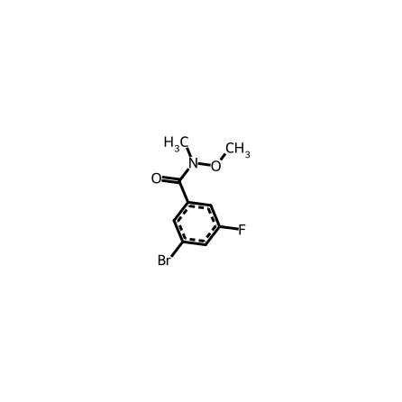 CON(C)C(=O)c1cc(F)cc(Br)c1